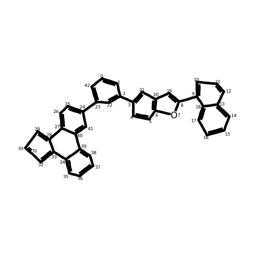 c1cc(-c2ccc3oc(-c4cccc5ccccc45)cc3c2)cc(-c2ccc3c4ccccc4c4ccccc4c3c2)c1